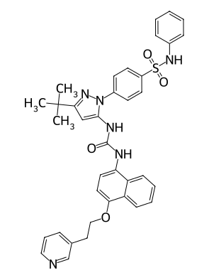 CC(C)(C)c1cc(NC(=O)Nc2ccc(OCCc3cccnc3)c3ccccc23)n(-c2ccc(S(=O)(=O)Nc3ccccc3)cc2)n1